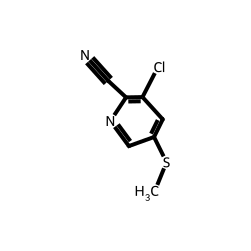 CSc1cnc(C#N)c(Cl)c1